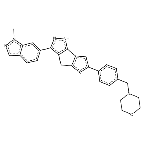 Cn1ncc2ccc(-c3n[nH]c4c3Cc3sc(-c5ccc(CN6CCOCC6)cc5)cc3-4)cc21